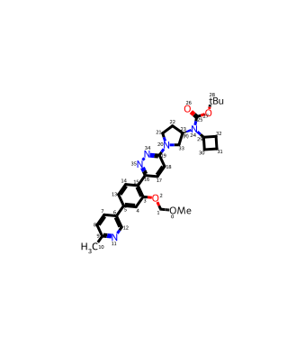 COCOc1cc(-c2ccc(C)nc2)ccc1-c1ccc(N2CC[C@@H](N(C(=O)OC(C)(C)C)C3CCC3)C2)nn1